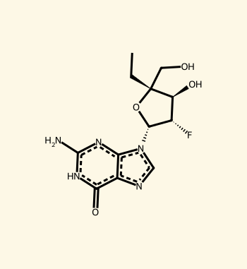 CC[C@]1(CO)O[C@@H](n2cnc3c(=O)[nH]c(N)nc32)[C@@H](F)[C@@H]1O